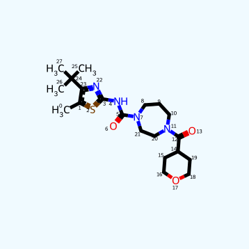 Cc1sc(NC(=O)N2CCCN(C(=O)C3CCOCC3)CC2)nc1C(C)(C)C